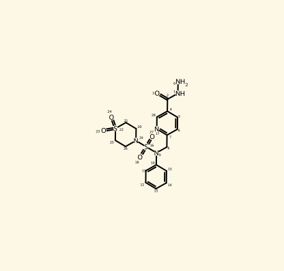 NNC(=O)c1ccc(CN(c2ccccc2)S(=O)(=O)N2CCS(=O)(=O)CC2)nc1